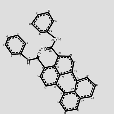 O=C(Nc1ccccc1)c1ccc2c3cccc4cccc(c5ccc(C(=O)Nc6ccccc6)c1c25)c43